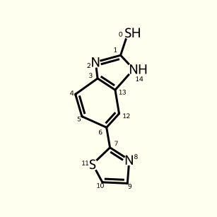 Sc1nc2ccc(-c3nccs3)cc2[nH]1